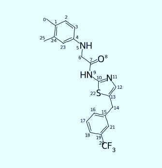 Cc1ccc(NCC(=O)Nc2ncc(Cc3cccc(C(F)(F)F)c3)s2)cc1C